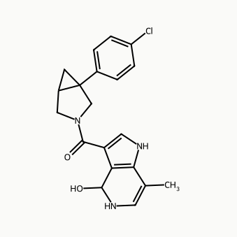 CC1=CNC(O)c2c(C(=O)N3CC4CC4(c4ccc(Cl)cc4)C3)c[nH]c21